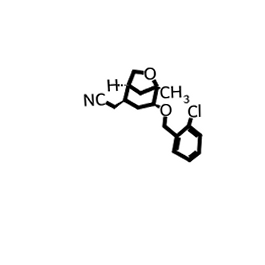 C[C@]12C[C@H](CO1)[C@H](CC#N)C[C@@H]2OCc1ccccc1Cl